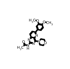 COc1ccc(-c2ccc3nc(NC(C)=O)nc(N4CCOCC4)c3n2)cc1OC